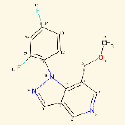 COCc1cncc2cnn(-c3ccc(F)cc3F)c12